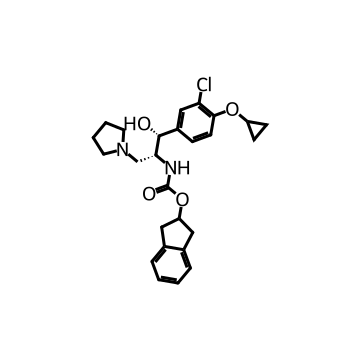 O=C(N[C@H](CN1CCCC1)[C@H](O)c1ccc(OC2CC2)c(Cl)c1)OC1Cc2ccccc2C1